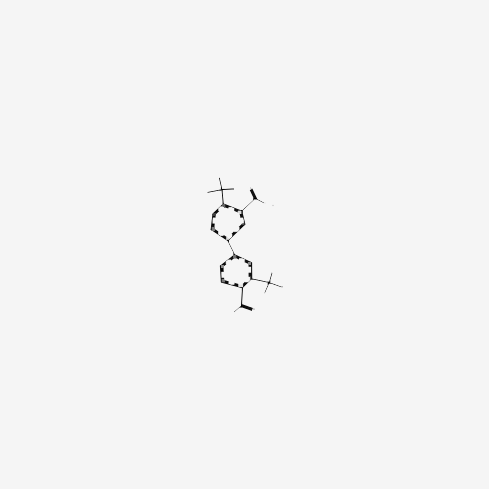 O=C(O)c1cc(-c2ccc(C(=O)O)c(C(F)(F)F)c2)ccc1C(F)(F)F